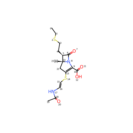 CCSCC[C@H]1C(=O)N2C(C(=O)O)=C(S/C=C/NC(C)=O)C[C@H]12